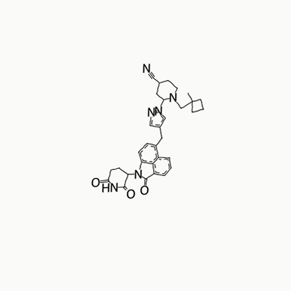 CC1(CN2CCC(C#N)CC2n2cc(Cc3ccc4c5c(cccc35)C(=O)N4C3CCC(=O)NC3=O)cn2)CCC1